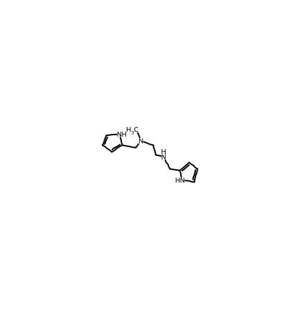 CN(CCNCc1ccc[nH]1)Cc1ccc[nH]1